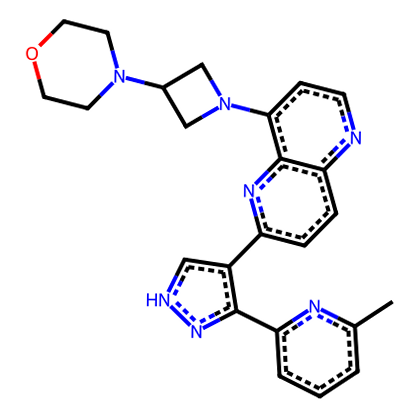 Cc1cccc(-c2n[nH]cc2-c2ccc3nccc(N4CC(N5CCOCC5)C4)c3n2)n1